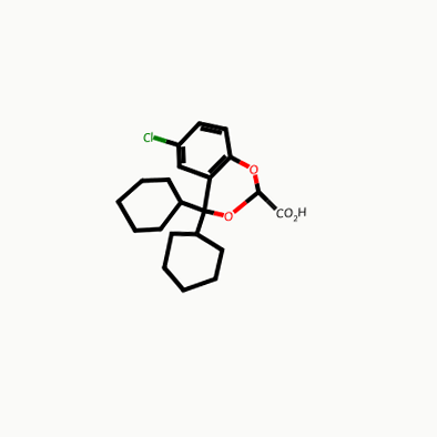 O=C(O)C1Oc2ccc(Cl)cc2C(C2CCCCC2)(C2CCCCC2)O1